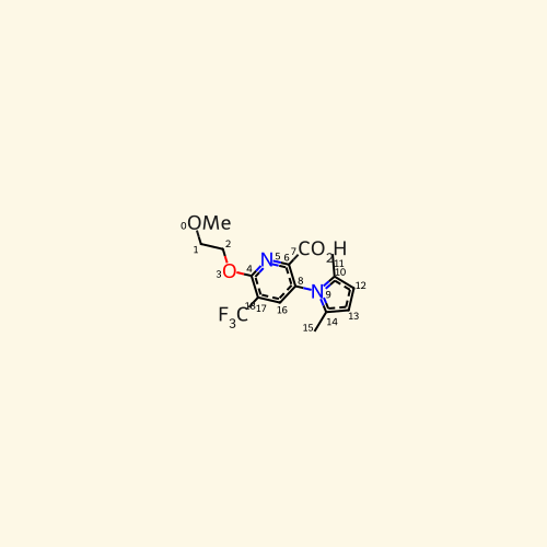 COCCOc1nc(C(=O)O)c(-n2c(C)ccc2C)cc1C(F)(F)F